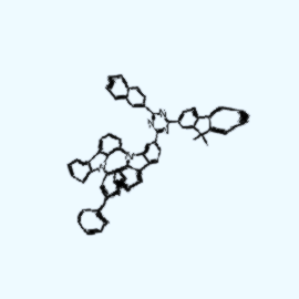 CC1(C)c2ccccc2-c2ccc(-c3nc(-c4ccc5ccccc5c4)nc(-c4ccc5c6ccccc6n(-c6cccc7c8ccccc8n(-c8cccc(-c9ccccc9)c8)c67)c5c4)n3)cc21